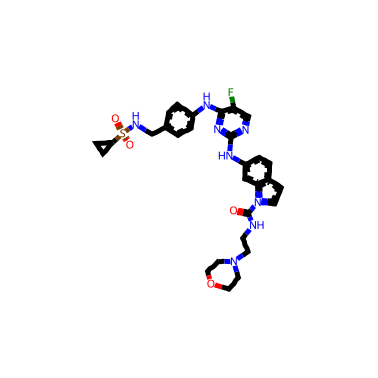 O=C(NCCN1CCOCC1)n1ccc2ccc(Nc3ncc(F)c(Nc4ccc(CNS(=O)(=O)C5CC5)cc4)n3)cc21